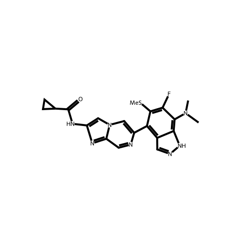 CSc1c(F)c(N(C)C)c2[nH]ncc2c1-c1cn2cc(NC(=O)C3CC3)nc2cn1